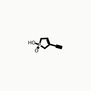 C#CC1=CCP(=O)(O)C1